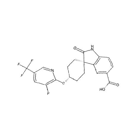 O=C(O)c1ccc2c(c1)[C@]1(CC[C@@H](Oc3ncc(C(F)(F)F)cc3F)CC1)C(=O)N2